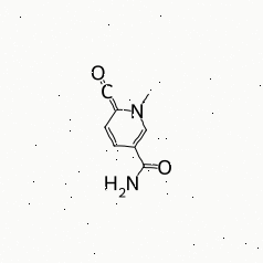 CN1C=C(C(N)=O)C=CC1=C=O